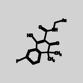 CC(=O)CNC(=O)C1=C(O)c2cc(F)ccc2C(C)(C)C1=O